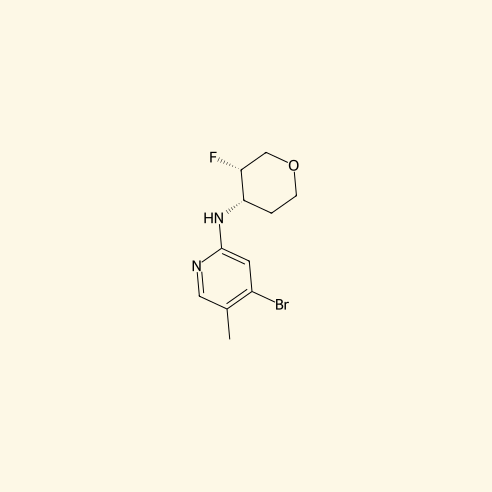 Cc1cnc(N[C@H]2CCOC[C@H]2F)cc1Br